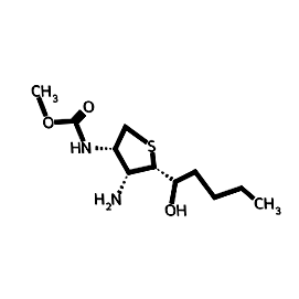 CCCCC(O)[C@H]1SC[C@@H](NC(=O)OC)[C@H]1N